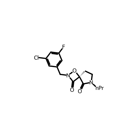 CCCN1CC[C@]2(ON(Cc3cc(F)cc(Cl)c3)C2=O)C1=O